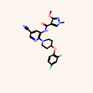 COc1nn(C)cc1C(=O)Nc1cc(C#N)cnc1N1CCC(Oc2ccc(F)cc2F)CC1